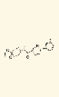 O=C(NC1CCC2(CC1)OCCO2)c1ccc(-c2cccc(F)c2)nc1